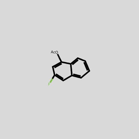 CC(=O)Oc1cc(F)cc2ccccc12